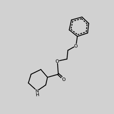 O=C(OCCOc1ccccc1)C1CCCNC1